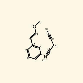 COC=Cc1ccccc1.N#CCC#N